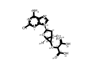 Nc1nc(Cl)nc2c1ncn2[C@H]1C[C@@]2(O)C(OC(C(=O)O)C(=O)O)[C@H]2O1